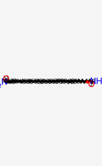 NC(=O)CCCCCCCCCCCC=CCCCCCCCCCCCCCCCCCCCCC=CCCCCCCCCCCCC(N)=O